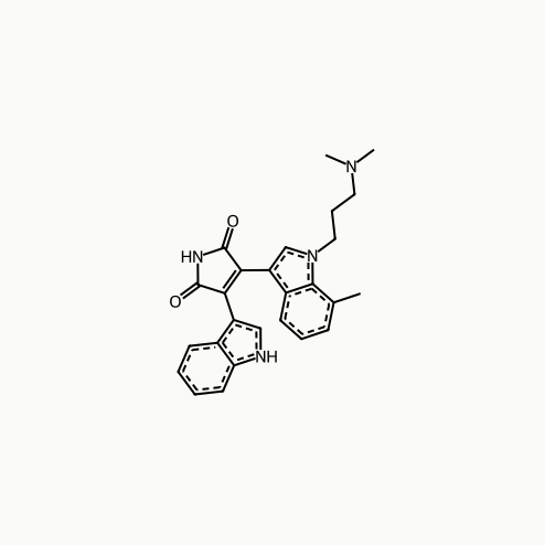 Cc1cccc2c(C3=C(c4c[nH]c5ccccc45)C(=O)NC3=O)cn(CCCN(C)C)c12